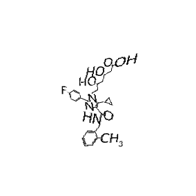 Cc1ccccc1CNC(=O)c1nc(-c2ccc(F)cc2)n(CC[C@@H](O)C[C@@H](O)CC(=O)O)c1C1CC1